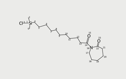 C[Si](C)(Cl)CCCCCCCCCCC(=O)N1CCCCCC1=O